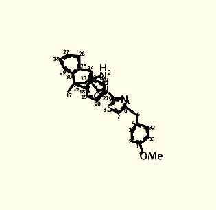 COc1ccc(Cc2csc(NC(=O)C3(N)CC4(C)c5ccccc5C3c3ccccc34)n2)cc1